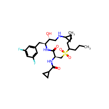 CCCC(CCC)S(=O)(=O)C[C@@H](NC(=O)C1CC1)C(=O)N[C@@H](Cc1cc(F)cc(F)c1)[C@H](O)CNC1CC1